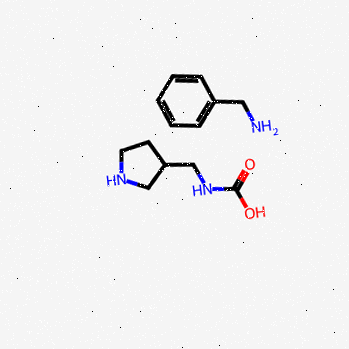 NCc1ccccc1.O=C(O)NCC1CCNC1